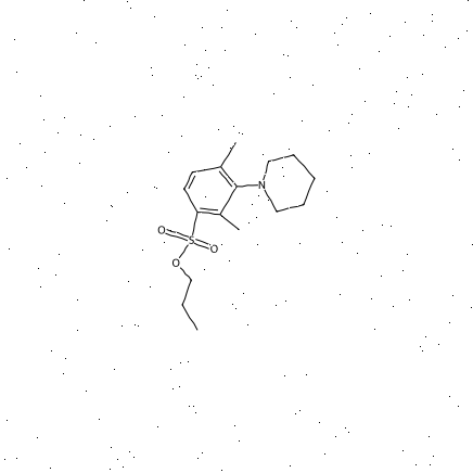 CCCOS(=O)(=O)c1ccc(C)c(N2CCCCC2)c1C